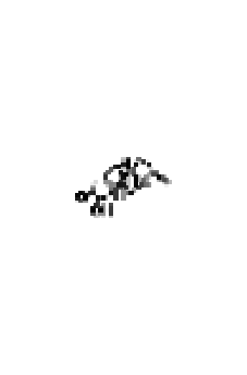 C#C[C@@H]1CC[C@H]2[C@@H]3CCC4=C(CC(O)C(=O)C4)[C@H]3CC[C@]12C